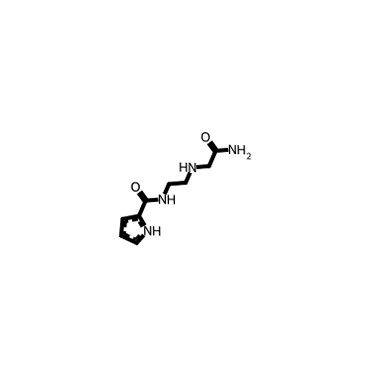 NC(=O)CNCCNC(=O)c1ccc[nH]1